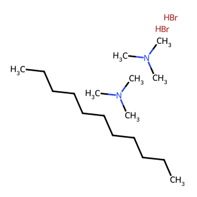 Br.Br.CCCCCCCCCCC.CN(C)C.CN(C)C